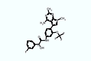 Cc1nc(N)c2c(-c3ccc(NC(=O)[C@@H](O)c4cccc(F)c4)cc3OC(F)(F)F)cn(C)c2n1